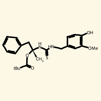 COc1cc(CNC(=S)N[C@@](C)(Cc2ccccc2)OC(=O)C(C)(C)C)ccc1O